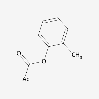 CC(=O)C(=O)Oc1ccccc1C